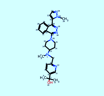 CN(Cc1ccc(C(C)(C)O)cn1)C1CCN(c2nnc(-c3ccnn3C)c3ccccc23)CC1